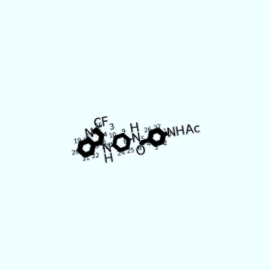 CC(=O)Nc1ccc(C(=O)N[C@H]2CC[C@@H](Nc3cc(C(F)(F)F)nc4ccccc34)CC2)cc1